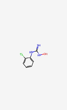 N=C(NO)Nc1ccccc1Cl